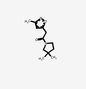 Cc1cc(CC(=O)N2[CH]CC(C)(C)C2)on1